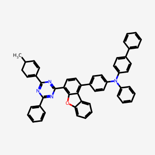 CC1C=CC(c2nc(-c3ccccc3)nc(-c3ccc(-c4ccc(N(c5ccccc5)c5ccc(-c6ccccc6)cc5)cc4)c4c3oc3ccccc34)n2)=CC1